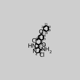 Nc1c(Cl)cnc2[nH]cc(C(=O)c3ccc(Oc4ccccc4)cc3Cl)c12